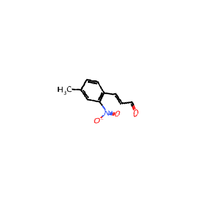 Cc1ccc(C=CC=O)c([N+](=O)[O-])c1